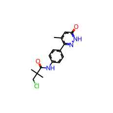 Cc1cc(=O)[nH]nc1-c1ccc(NC(=O)C(C)(C)CCl)cc1